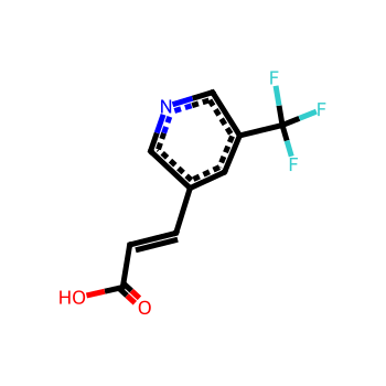 O=C(O)/C=C/c1cncc(C(F)(F)F)c1